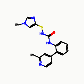 CC(C)c1cc(-c2ccccc2NC(=O)NSc2cn(C(C)C)cn2)ccn1